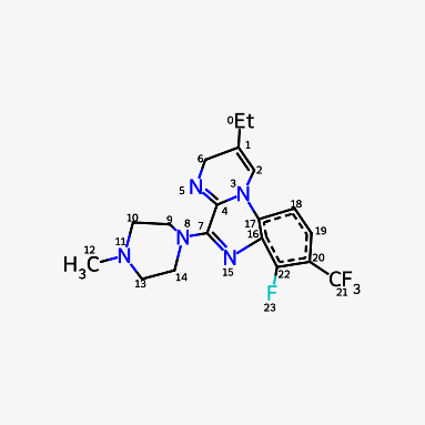 CCC1=CN2C(=NC1)C(N1CCN(C)CC1)=Nc1c2ccc(C(F)(F)F)c1F